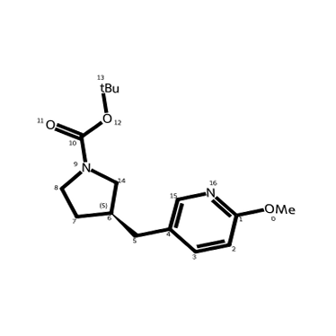 COc1ccc(C[C@H]2CCN(C(=O)OC(C)(C)C)C2)cn1